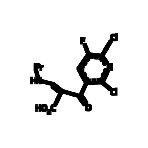 CC(C)NC=C(C(=O)O)C(=O)c1cc(F)c(Cl)nc1Cl